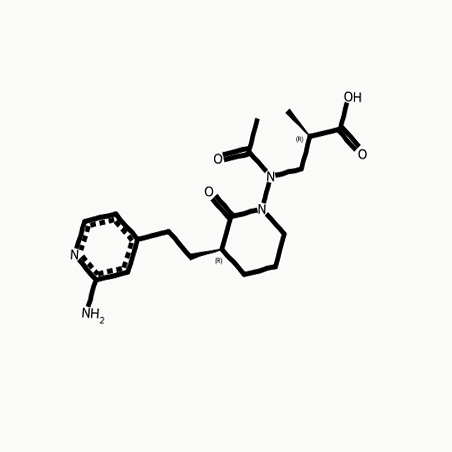 CC(=O)N(C[C@@H](C)C(=O)O)N1CCC[C@@H](CCc2ccnc(N)c2)C1=O